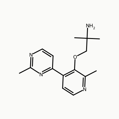 Cc1nccc(-c2ccnc(C)c2OCC(C)(C)N)n1